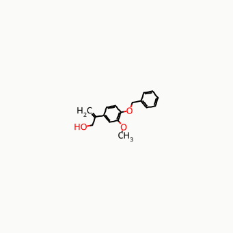 C=C(CO)c1ccc(OCc2ccccc2)c(OC)c1